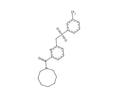 O=C(c1cccc(CS(=O)(=O)c2cccc(C(F)(F)F)c2)n1)N1CCCCCCC1